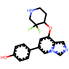 Oc1ccc(-c2cc(OC3CCNCC3(F)F)c3cncn3c2)cc1